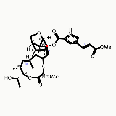 COC(=O)/C=C/c1c[nH]c(C(=O)O[C@@H]2[C@H](C)[C@@H](O)[C@H]3CO[C@@H]2[C@@H]3/C=C\C2C/C(C)=C/[C@@H](C)[C@@H](C(C)O)OC(=O)[C@@H](OC)C2)c1